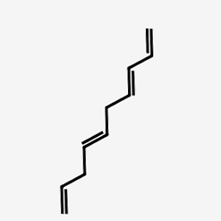 C=CC=CCC=CCC=C